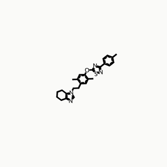 Cc1ccc(-c2nsc(Oc3cc(C)c(CCn4cnc5c4CCCC5)cc3C)n2)cc1